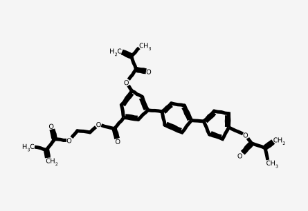 C=C(C)C(=O)OCCOC(=O)c1cc(OC(=O)C(=C)C)cc(-c2ccc(-c3ccc(OC(=O)C(=C)C)cc3)cc2)c1